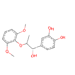 COc1cccc(OC)c1OC(C)[C@@H](O)c1ccc(O)c(O)c1